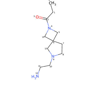 CCC(=O)N1CC2(CCN(CCN)C2)C1